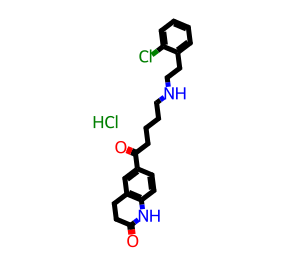 Cl.O=C1CCc2cc(C(=O)CCCCNCCc3ccccc3Cl)ccc2N1